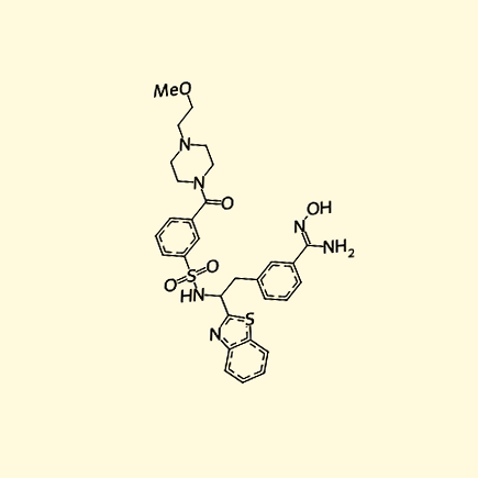 COCCN1CCN(C(=O)c2cccc(S(=O)(=O)NC(Cc3cccc(C(N)=NO)c3)c3nc4ccccc4s3)c2)CC1